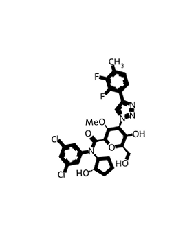 CO[C@@H]1[C@@H](n2cc(-c3ccc(C)c(F)c3F)nn2)[C@@H](O)[C@@H](CO)O[C@H]1C(=O)N(c1cc(Cl)cc(Cl)c1)[C@H]1CCC[C@@H]1O